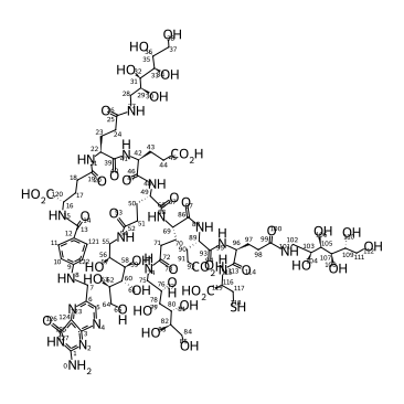 Nc1nc2ncc(CNc3ccc(C(=O)N[C@@H](CCC(=O)N[C@@H](CCC(=O)NC[C@H](O)[C@@H](O)[C@H](O)[C@H](O)CO)C(=O)N[C@@H](CCC(=O)O)C(=O)N[C@@H](CCC(=O)NC[C@H](O)[C@@H](O)[C@H](O)[C@H](O)CO)C(=O)N[C@@H](CCC(=O)NC[C@H](O)[C@@H](O)[C@H](O)[C@H](O)CO)C(=O)N[C@@H](CCC(=O)O)C(=O)N[C@@H](CCC(=O)NC[C@H](O)[C@@H](O)[C@H](O)[C@H](O)CO)C(=O)N[C@@H](CS)C(=O)O)C(=O)O)cc3)nc2c(=O)[nH]1